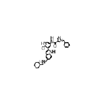 O=C(Nc1c[nH]c(=O)c(-c2cc3cc(CNCC4CCCCC4)ccc3[nH]2)c1)c1cnn(Cc2ccccc2)c1